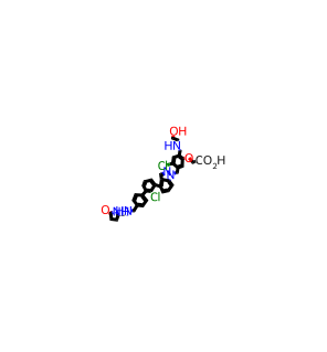 O=C(O)COc1cc(Cn2ncc3c(-c4cccc(-c5ccc(CNC[C@@H]6CCC(=O)N6)cc5)c4Cl)cccc32)c(Cl)cc1CNCCO